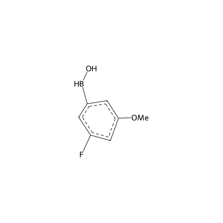 COc1cc(F)cc(BO)c1